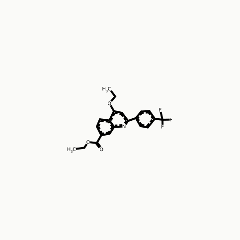 CCOC(=O)c1ccc2c(OCC)cc(-c3ccc(C(F)(F)F)cc3)nc2c1